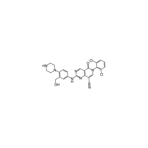 N#Cc1cn(-c2c(Cl)cccc2Cl)c(=O)c2cnc(Nc3ccc(N4CCNCC4)c(CO)c3)nc12